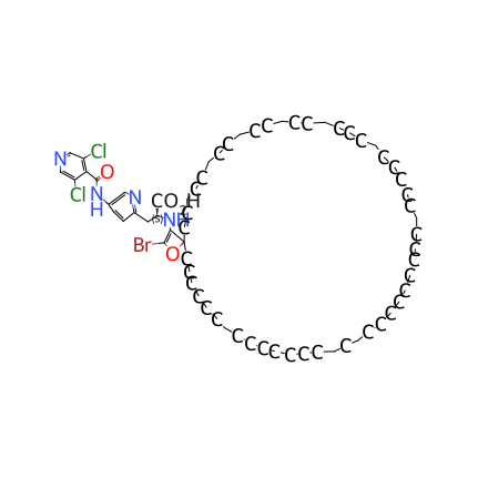 O=C(Nc1ccc(C[C@H](NC2=C(Br)OC23CCCCCCCCCCCCCCCCCCCCCCCCCCCCCCCCCCCCCCCCCCCCCCCCCCC3)C(=O)O)nc1)c1c(Cl)cncc1Cl